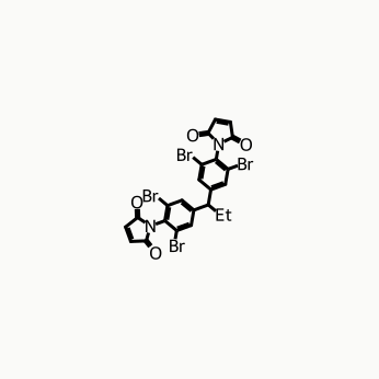 CCC(c1cc(Br)c(N2C(=O)C=CC2=O)c(Br)c1)c1cc(Br)c(N2C(=O)C=CC2=O)c(Br)c1